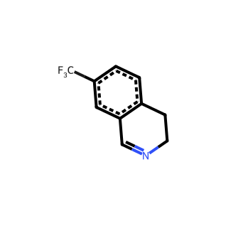 FC(F)(F)c1ccc2c(c1)C=NCC2